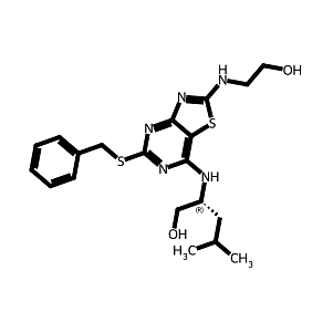 CC(C)C[C@H](CO)Nc1nc(SCc2ccccc2)nc2nc(NCCO)sc12